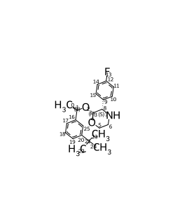 C[C@@H](O[C@H]1OCCN[C@H]1c1ccc(F)cc1)c1cccc(C(C)(C)C)c1